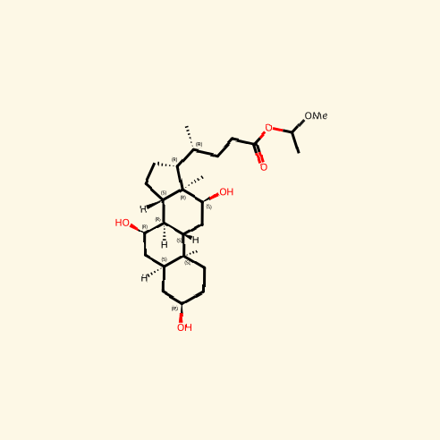 COC(C)OC(=O)CC[C@@H](C)[C@H]1CC[C@H]2[C@@H]3[C@H](O)C[C@@H]4C[C@H](O)CC[C@]4(C)[C@H]3C[C@H](O)[C@]12C